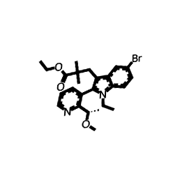 CCOC(=O)C(C)(C)Cc1c(-c2cccnc2[C@H](C)OC)n(CC)c2ccc(Br)cc12